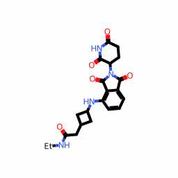 CCNC(=O)CC1CC(Nc2cccc3c2C(=O)N(C2CCC(=O)NC2=O)C3=O)C1